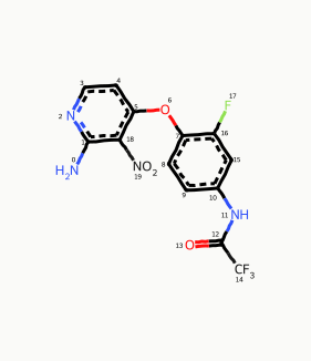 Nc1nccc(Oc2ccc(NC(=O)C(F)(F)F)cc2F)c1[N+](=O)[O-]